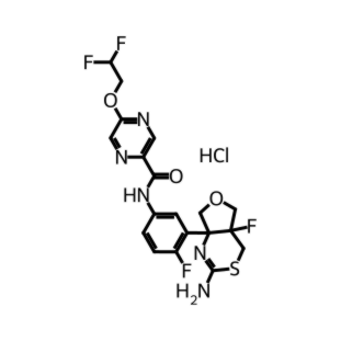 Cl.NC1=NC2(c3cc(NC(=O)c4cnc(OCC(F)F)cn4)ccc3F)COCC2(F)CS1